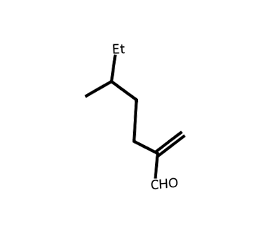 C=C(C=O)CCC(C)CC